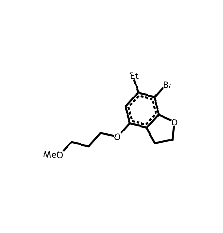 CCc1cc(OCCCOC)c2c(c1Br)OCC2